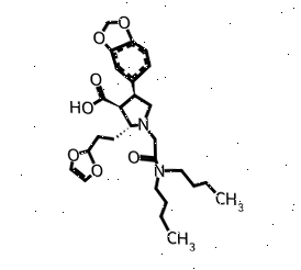 CCCCN(CCCC)C(=O)CN1C[C@H](c2ccc3c(c2)OCO3)[C@H](C(=O)O)[C@H]1CCC1OC=CO1